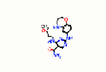 COCCCNc1nc(Nc2ccc3c(c2)NCCCO3)ncc1C(N)=O